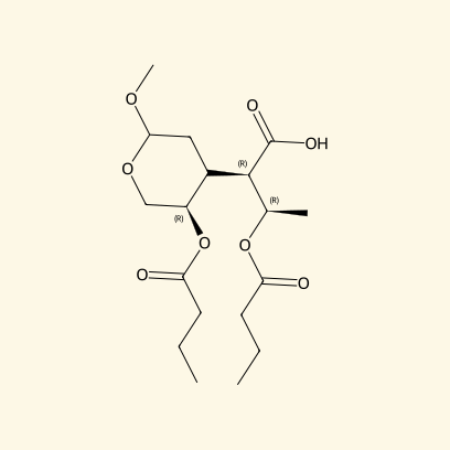 CCCC(=O)O[C@H]1COC(OC)CC1[C@@H](C(=O)O)[C@@H](C)OC(=O)CCC